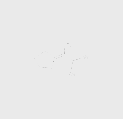 CCCC(C#N)C(N)=C1CCCC1